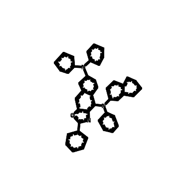 c1ccc(-c2nc3c(N(c4ccccc4)c4ccc5ccccc5c4)c4ccc(N(c5ccccc5)c5ccccc5)cc4cc3o2)cc1